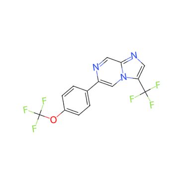 FC(F)(F)Oc1ccc(-c2cn3c(C(F)(F)F)cnc3cn2)cc1